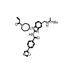 C=CC(=O)N1CCC[C@@H](n2c(NC(=O)c3ccc(-c4cnco4)cc3)nc3cc(CN[C@@H](C)C(C)(C)C)ccc32)CC1